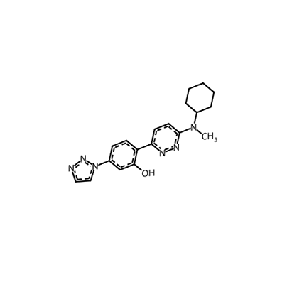 CN(c1ccc(-c2ccc(-n3ccnn3)cc2O)nn1)C1CCCCC1